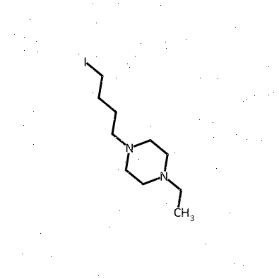 CCN1CCN(CCCCI)CC1